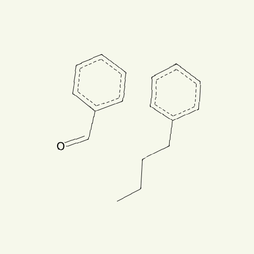 CCCCc1ccccc1.O=Cc1ccccc1